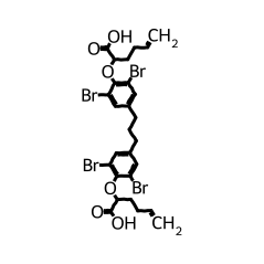 C=CCCC(Oc1c(Br)cc(CCCc2cc(Br)c(OC(CCC=C)C(=O)O)c(Br)c2)cc1Br)C(=O)O